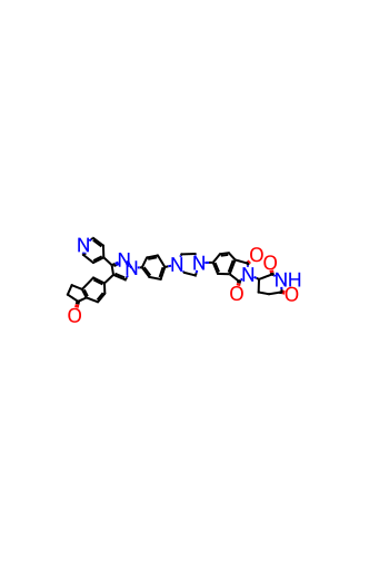 O=C1CCC(N2C(=O)c3ccc(N4CCN(c5ccc(-n6cc(-c7ccc8c(c7)CCC8=O)c(-c7ccncc7)n6)cc5)CC4)cc3C2=O)C(=O)N1